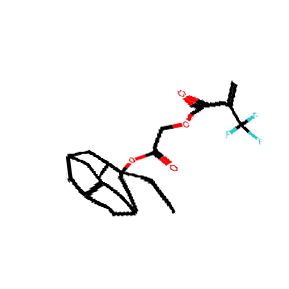 C=C(C(=O)OCC(=O)OC1(CC)C2CC3CC(C2)CC1C3)C(F)(F)F